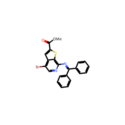 COC(=O)c1cc2c(Br)cnc(N=C(c3ccccc3)c3ccccc3)c2s1